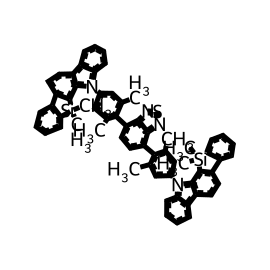 Cc1cc(-n2c3ccccc3c3ccc4c(c32)[Si](C)(C)c2ccccc2-4)cc(C)c1-c1ccc(-c2c(C)cc(-n3c4ccccc4c4ccc5c(c43)[Si](C)(C)c3ccccc3-5)cc2C)c2nsnc12